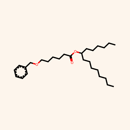 CCCCCCCCC(CCCCCC)OC(=O)CCCCCOCc1ccccc1